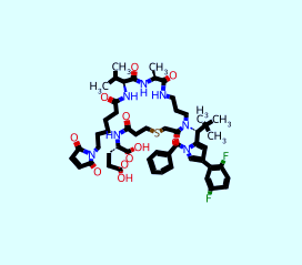 CC(C)[C@H](NC(=O)CCCCCN1C(=O)C=CC1=O)C(=O)N[C@@H](C)C(=O)NCCCN(C(=O)CSCCC(=O)N[C@@H](CCC(=O)O)C(=O)O)[C@@H](c1cc(-c2cc(F)ccc2F)cn1Cc1ccccc1)C(C)(C)C